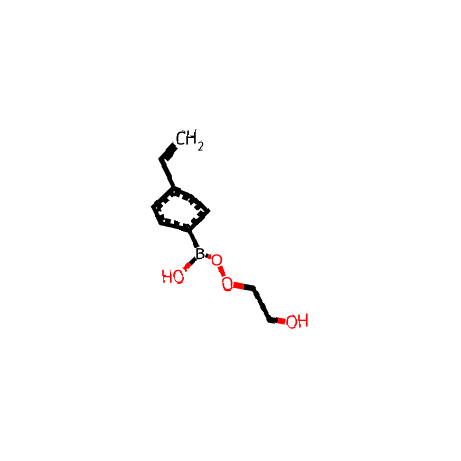 C=Cc1ccc(B(O)OOCCO)cc1